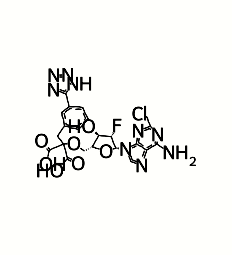 Nc1nc(Cl)nc2c1ncn2[C@@H]1O[C@H](COC(Cc2cccc(-c3nnn[nH]3)c2)(C(=O)O)C(=O)O)[C@@H](O)[C@@H]1F